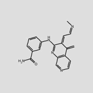 C=c1/c(=C\C=N/C)c(Nc2cccc(C(N)=O)c2)nc2cnccc12